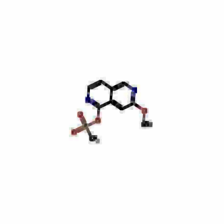 CCCCOc1cc2c(OS(=O)(=O)C(F)(F)F)nccc2cn1